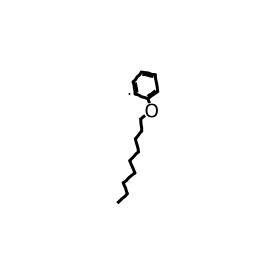 CCCCCCCCCOc1[c]cccc1